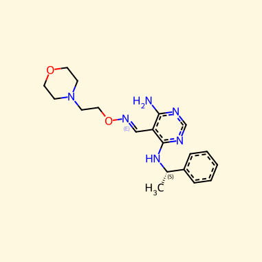 C[C@H](Nc1ncnc(N)c1/C=N/OCCN1CCOCC1)c1ccccc1